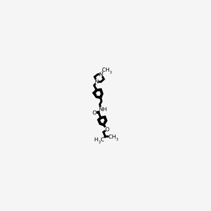 CC(C)COc1ccc(C(=O)NCCc2ccc(CN3CCN(C)CC3)cc2)cc1